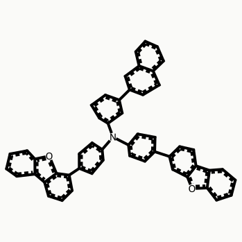 c1cc(-c2ccc3ccccc3c2)cc(N(c2ccc(-c3ccc4c(c3)oc3ccccc34)cc2)c2ccc(-c3cccc4c3oc3ccccc34)cc2)c1